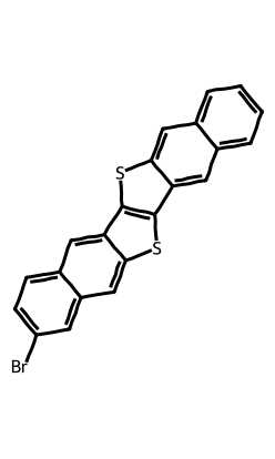 Brc1ccc2cc3c(cc2c1)sc1c2cc4ccccc4cc2sc31